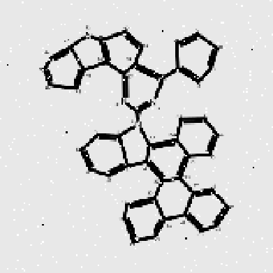 c1ccc(-c2nc(-n3c4ccccc4c4c5c6ccccc6c6ccccc6c5c5ccccc5c43)nc3c2ccc2sc4ccccc4c23)cc1